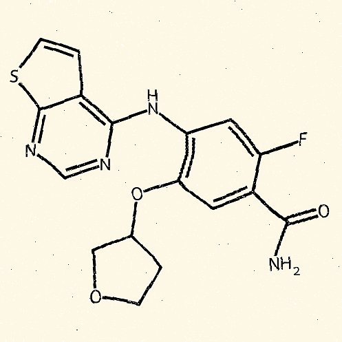 NC(=O)c1cc(OC2CCOC2)c(Nc2ncnc3sccc23)cc1F